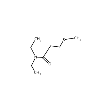 CCN(CC)C(=O)CCSC